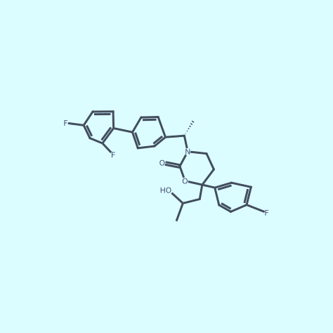 CC(O)CC1(c2ccc(F)cc2)CCN([C@@H](C)c2ccc(-c3ccc(F)cc3F)cc2)C(=O)O1